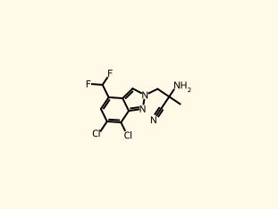 CC(N)(C#N)Cn1cc2c(C(F)F)cc(Cl)c(Cl)c2n1